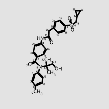 Cc1ccc(N(C(=O)c2ccc(NC(=O)Cc3ccc(S(=O)(=O)CC4CC4)cc3)cc2)C(C)(C)CO)cc1